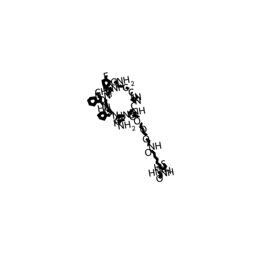 Cn1cc(C[C@@H]2NC(=O)[C@@H](Cc3ccccc3)NC(=O)[C@@H](CC(N)=O)NC(=O)[C@@H](NC(=O)COCCOCCOCCNC(=O)CCCCC3SC[C@H]4NC(=O)N[C@@H]34)Cc3cn(nn3)CCCC[C@@H](C(N)=O)NC(=O)[C@H](Cc3ccc(F)cc3)NC2=O)c2ccccc21